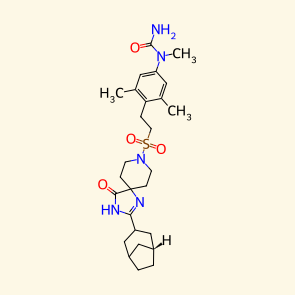 Cc1cc(N(C)C(N)=O)cc(C)c1CCS(=O)(=O)N1CCC2(CC1)N=C(C1CC3CC[C@H](C3)C1)NC2=O